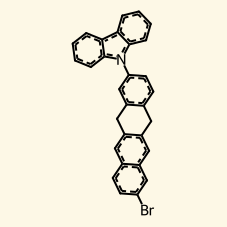 Brc1ccc2cc3c(cc2c1)Cc1ccc(-n2c4ccccc4c4ccccc42)cc1C3